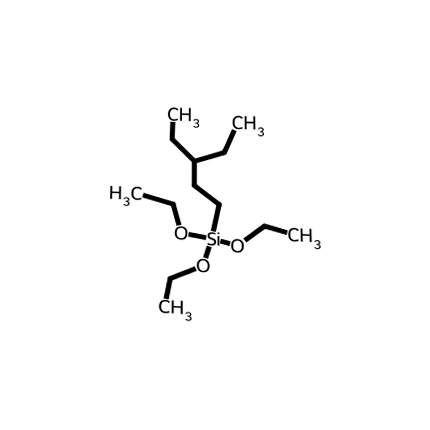 CCO[Si](CCC(CC)CC)(OCC)OCC